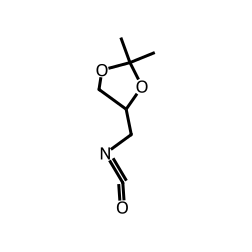 CC1(C)OCC(CN=C=O)O1